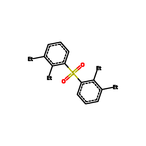 CCc1cccc(S(=O)(=O)c2cccc(CC)c2CC)c1CC